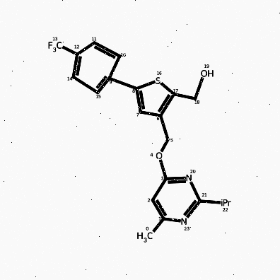 Cc1cc(OCc2cc(-c3ccc(C(F)(F)F)cc3)sc2CO)nc(C(C)C)n1